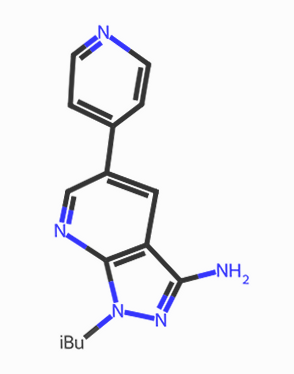 CCC(C)n1nc(N)c2cc(-c3ccncc3)cnc21